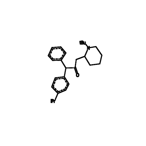 CC(C)c1ccc(C(C(=O)CC2CCCCN2C(C)(C)C)c2ccccc2)cc1